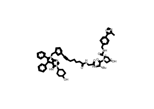 Cc1ncsc1-c1ccc(CNC(=O)[C@@H]2C[C@@H](O)CN2C(=O)[C@@H](NC(=O)CNC(=O)CCCCC#Cc2cccc(Cn3c(-c4ccccc4)c(-c4ccccc4)c4c(=N)n(C5CCC(O)CC5)cnc43)c2)C(C)(C)C)cc1